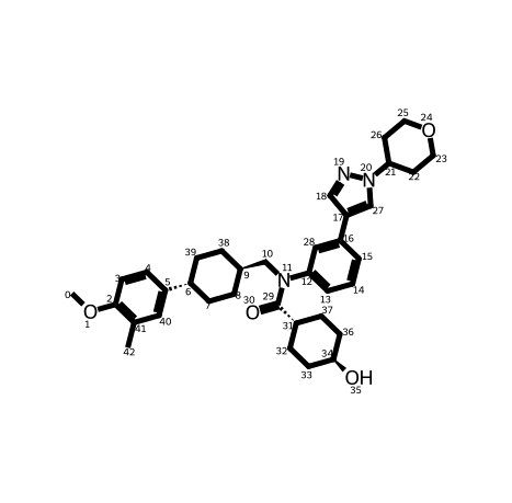 COc1ccc([C@H]2CC[C@H](CN(c3cccc(-c4cnn(C5CCOCC5)c4)c3)C(=O)[C@H]3CC[C@H](O)CC3)CC2)cc1C